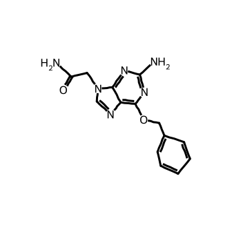 NC(=O)Cn1cnc2c(OCc3ccccc3)nc(N)nc21